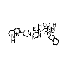 CCc1c(NC[C@H](NS(=O)(=O)c2ccc3ccccc3c2)C(=O)O)ncnc1N1CCC(c2ccc3c(n2)NCCC3)CC1